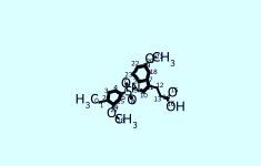 CCc1ccc(S(=O)(=O)n2cc(CCC(=O)O)c3cc(OC)ccc32)cc1OC